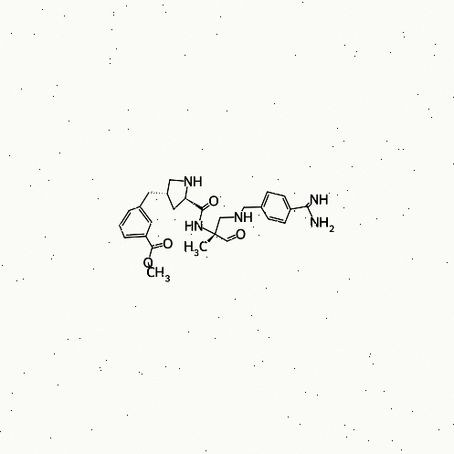 COC(=O)c1cccc(C[C@@H]2CN[C@@H](C(=O)N[C@@](C)(C=O)CNCc3ccc(C(=N)N)cc3)C2)c1